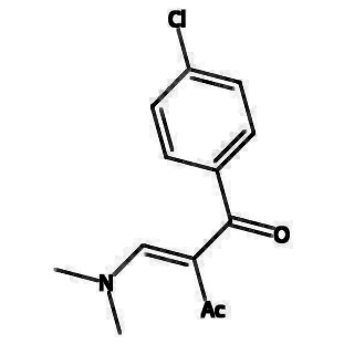 CC(=O)C(=CN(C)C)C(=O)c1ccc(Cl)cc1